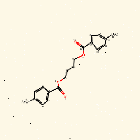 CC(=O)Oc1ccc(C(=O)OCCCCOC(=O)c2ccc(OC(C)=O)cc2)cc1